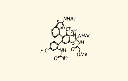 COCC(=O)NC1(NC(C)=O)Nc2c(cc(-c3ccc(C(F)(F)F)cc3NC(=O)C(C)C)c(-c3cccc4sc(NC(C)=O)nc34)c2C(F)(F)F)S1